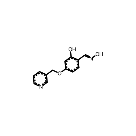 O/N=C/c1ccc(OCc2cccnc2)cc1O